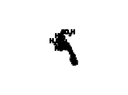 C[C@H](CCC(=O)NCCS(=O)(=O)O)[C@H]1CC[C@H]2C3[C@@H](O)CC4C[C@H](OCCCCCOc5ccc6ccccc6c5)CC[C@]4(C)[C@H]3CC[C@]12C